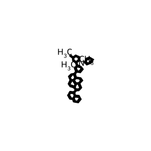 CCC1CCC2(C)N(c3ccccc3)c3ccc(-c4ccc5ccc6c(-c7cccc8ccccc78)ccc7ccc4c5c76)cc3C2(C)C1